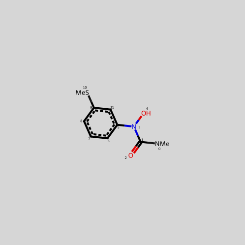 CNC(=O)N(O)c1cccc(SC)c1